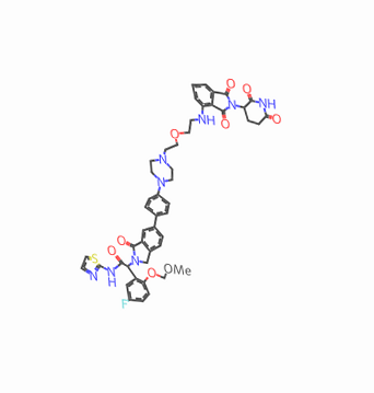 COCOc1ccc(F)cc1C(C(=O)Nc1nccs1)N1Cc2ccc(-c3ccc(N4CCN(CCOCCNc5cccc6c5C(=O)N(C5CCC(=O)NC5=O)C6=O)CC4)cc3)cc2C1=O